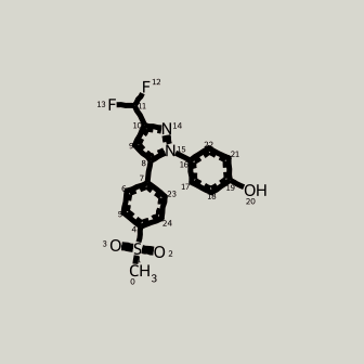 CS(=O)(=O)c1ccc(-c2cc(C(F)F)nn2-c2ccc(O)cc2)cc1